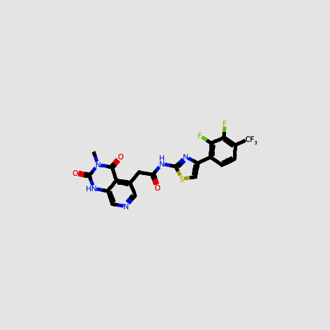 Cn1c(=O)[nH]c2cncc(CC(=O)Nc3nc(-c4ccc(C(F)(F)F)c(F)c4F)cs3)c2c1=O